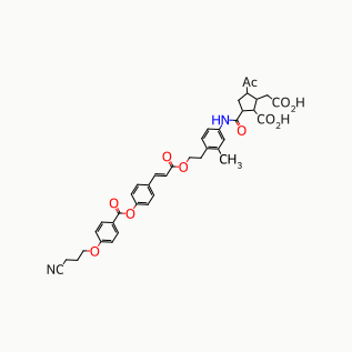 CC(=O)C1CC(C(=O)Nc2ccc(CCOC(=O)/C=C/c3ccc(OC(=O)c4ccc(OCCCC#N)cc4)cc3)c(C)c2)C(C(=O)O)C1CC(=O)O